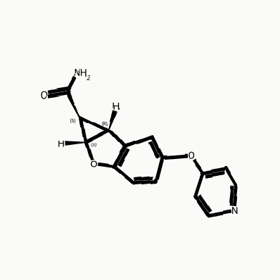 NC(=O)[C@@H]1[C@H]2Oc3ccc(Oc4ccncc4)cc3[C@H]21